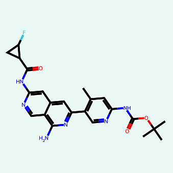 Cc1cc(NC(=O)OC(C)(C)C)ncc1-c1cc2cc(NC(=O)C3CC3F)ncc2c(N)n1